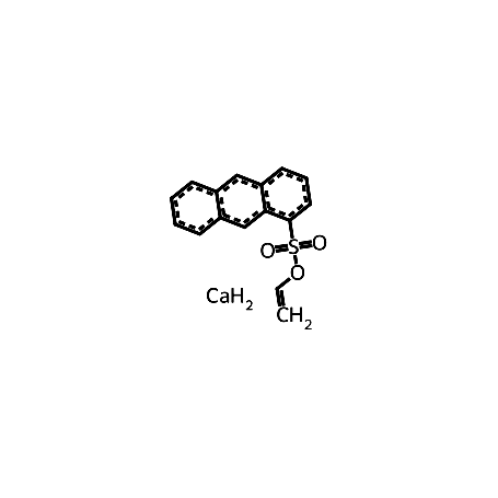 C=COS(=O)(=O)c1cccc2cc3ccccc3cc12.[CaH2]